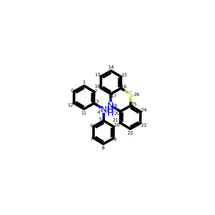 c1ccc(Nc2ccccc2)cc1.c1ccc2c(c1)Nc1ccccc1S2